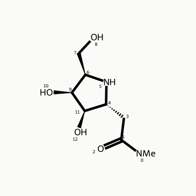 CNC(=O)C[C@H]1N[C@H](CO)[C@H](O)[C@@H]1O